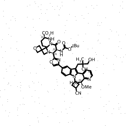 CO[C@@H](C)c1ncccc1-c1c(CC(C)(C)CO)c2cc(-c3coc([C@H]([C@H](NC(=O)OC(C)(C)C)C(=O)N4CCC[C@@H](C(=O)O)N4)N4CC5(COC5)C4)n3)ccc2n1C1CC(C#N)C1